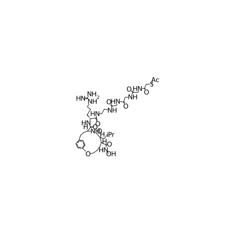 CC(=O)SCC(=O)NCC(=O)NCC(=O)NCC(=O)NCCNC(=O)[C@H](CCCNC(=N)N)NC(=O)[C@@H]1CCc2ccc(cc2)OCCC[C@H](C(=O)NO)[C@@H](CC(C)C)C(=O)N1